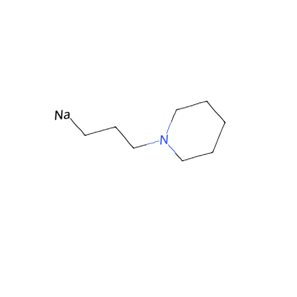 [Na][CH2]CCN1CCCCC1